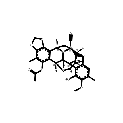 COc1c(C)cc2c(c1O)[C@H]1[C@@H]3[C@@H]4SCC(=O)C(=O)OC[C@@H](c5c6c(c(C)c(OC(C)=O)c54)OCO6)N3[C@@H](C#N)[C@H](C2)N1C